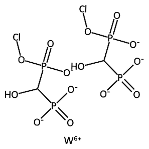 O=P([O-])([O-])C(O)P(=O)([O-])OCl.O=P([O-])([O-])C(O)P(=O)([O-])OCl.[W+6]